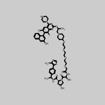 Cc1ncsc1-c1ccc(C(C)NC(=O)[C@@H]2C[C@@H](O)CN2C(=O)C(NC(=O)COCCOCCOCCOC2CCN(CC(C)Oc3nc(N4CCNCC4)c4cc(Cl)c(-c5cc(O)cc6ccccc56)c(F)c4n3)CC2)C(C)(C)C)cc1